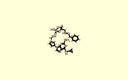 Nc1nc(NC2CC2)c2ncn([C@H]3C=C[C@@H](CO)C3)c2n1.O=C(CNOCc1ccccc1)OP(=O)(O)O